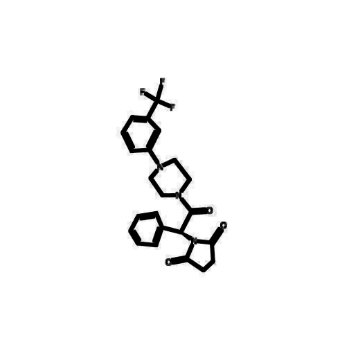 O=C([C@H](c1ccccc1)N1C(=O)CCC1=O)N1CCN(c2cccc(C(F)(F)F)c2)CC1